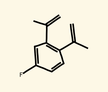 C=C(C)c1ccc(F)cc1C(=C)C